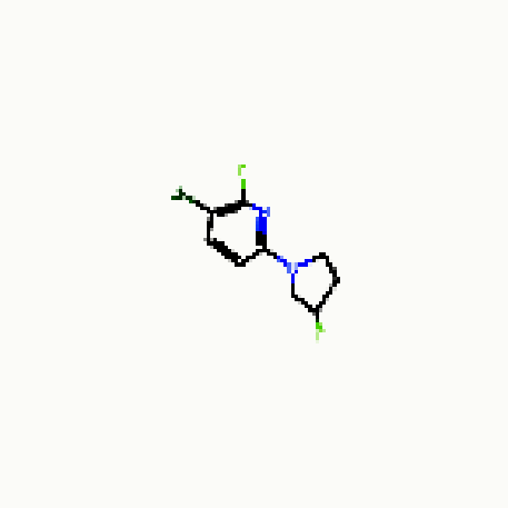 Fc1nc(N2CCC(F)C2)ccc1Cl